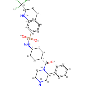 O=C([C@H]1CC[C@H](NS(=O)(=O)c2ccc3c(c2)NC(C(F)(F)F)CC3)CC1)N1CCNCC1c1ccccc1